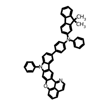 CC1(C)c2ccccc2-c2ccc(N(c3ccccc3)c3ccc(-c4ccc5c(c4)c4cc6c(cc4n5-c4ccccc4)Oc4cccc5ccnc-6c45)cc3)cc21